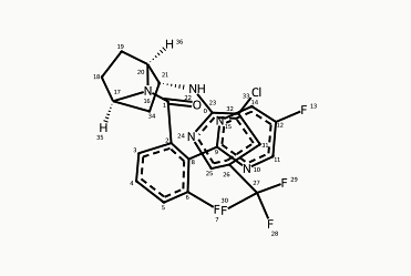 O=C(c1cccc(F)c1-c1ncc(F)cn1)N1[C@@H]2CC[C@H]1[C@H](Nc1ncc(C(F)(F)F)cc1Cl)C2